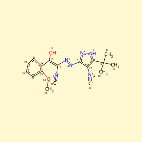 [C-]#[N+]C(/N=N/c1n[nH]c(C(C)(C)C)c1[N+]#[C-])=C(/O)c1ccccc1OC